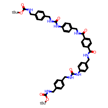 CC(C)(C)OC(=O)NCc1ccc(CNC(=O)Nc2ccc(CNC(=O)c3ccc(C(=O)NCc4ccc(NC(=O)NCc5ccc(CNC(=O)OC(C)(C)C)cc5)cc4)cc3)cc2)cc1